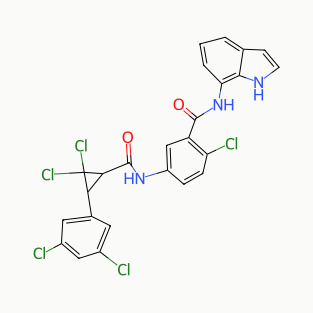 O=C(Nc1cccc2cc[nH]c12)c1cc(NC(=O)C2C(c3cc(Cl)cc(Cl)c3)C2(Cl)Cl)ccc1Cl